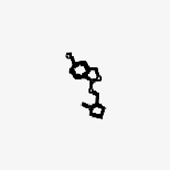 CN1CCCC1COB1OCc2cc(Cl)ccc21